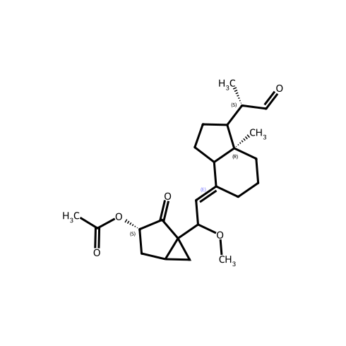 COC(/C=C1\CCC[C@@]2(C)C1CCC2[C@H](C)C=O)C12CC1C[C@H](OC(C)=O)C2=O